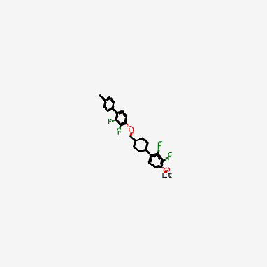 CCOc1ccc(C2CCC(COc3ccc(-c4ccc(C)cc4)c(F)c3F)CC2)c(F)c1F